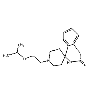 CC(C)OCCN1CCC2(CC1)NC(=O)Cc1ccccc12